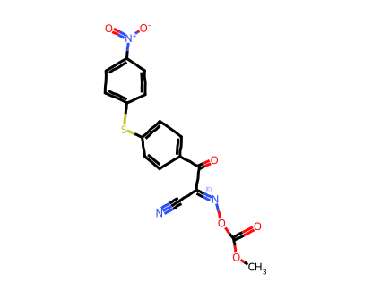 COC(=O)O/N=C(\C#N)C(=O)c1ccc(Sc2ccc([N+](=O)[O-])cc2)cc1